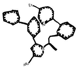 C=C(Cc1ccccc1-c1ccc(CC)cn1)n1cc(C(C)(C)C)cc1-c1cccc(-c2ccccc2)c1